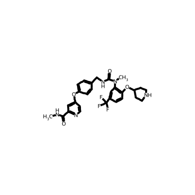 CNC(=O)c1cc(Oc2ccc(CNC(=O)N(C)c3cc(C(F)(F)F)ccc3OC3CCNCC3)cc2)ccn1